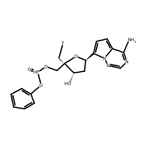 Nc1ncnn2c([C@H]3C[C@H](O)[C@@](CF)(CO[PH](=O)Oc4ccccc4)O3)ccc12